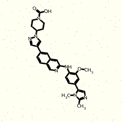 COc1cc(-c2cnc(C)n2C)ccc1Nc1cc2cc(-c3cnn(C4CCN(C(=O)O)CC4)c3)ccc2cn1